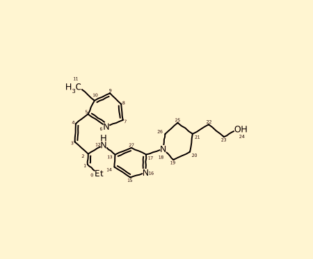 CC/C=C(/C=C\c1ncccc1C)Nc1ccnc(N2CCC(CCO)CC2)c1